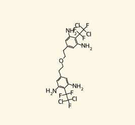 Nc1cc(CCOCCc2cc(N)c(C(F)(F)C(F)(Cl)Cl)c(N)c2)cc(N)c1C(F)(F)C(F)(Cl)Cl